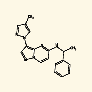 Cc1cnn(-c2cnn3ccc(NC(C)c4ccccc4)nc23)c1